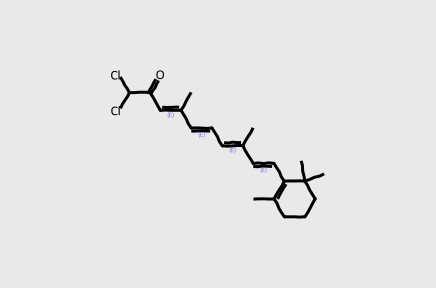 CC1=C(/C=C/C(C)=C/C=C/C(C)=C/C(=O)C(Cl)Cl)C(C)(C)CCC1